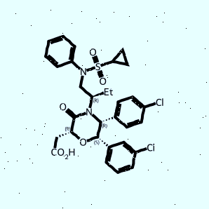 CC[C@H](CN(c1ccccc1)S(=O)(=O)C1CC1)N1C(=O)[C@@H](CC(=O)O)O[C@@H](c2cccc(Cl)c2)[C@H]1c1ccc(Cl)cc1